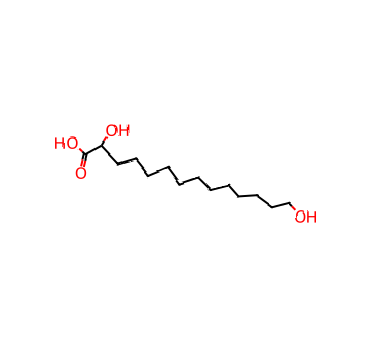 O=C(O)C(O)CCCCCCCCCCCCO